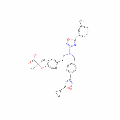 Cc1cccc(-c2nc(N(CCc3ccc(OC(C)(C)C(=O)O)cc3)Cc3ccc(-c4noc(C5CC5)n4)cc3)no2)c1